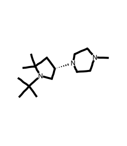 CN1CCN([C@@H]2CN(C(C)(C)C)C(C)(C)C2)CC1